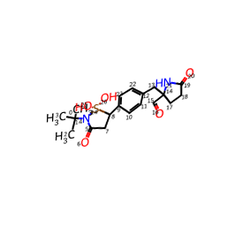 CC(C)(C)N1C(=O)CC(c2ccc(CC3(C=O)CCC(=O)N3)cc2)S1(O)O